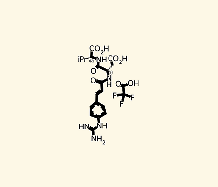 CC(C)[C@@H](NC(=O)[C@H](CC(=O)O)NC(=O)C=Cc1ccc(NC(=N)N)cc1)C(=O)O.O=C(O)C(F)(F)F